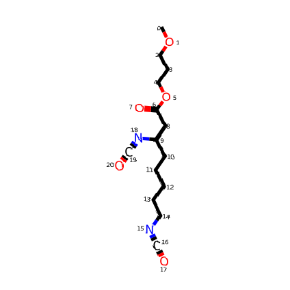 COCCCOC(=O)CC(CCCCCN=C=O)N=C=O